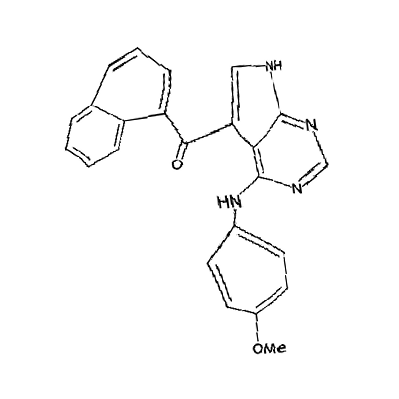 COc1ccc(Nc2ncnc3[nH]cc(C(=O)c4cccc5ccccc45)c23)cc1